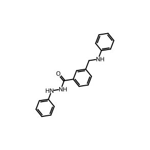 O=C(NNc1ccccc1)c1cccc(CNc2ccccc2)c1